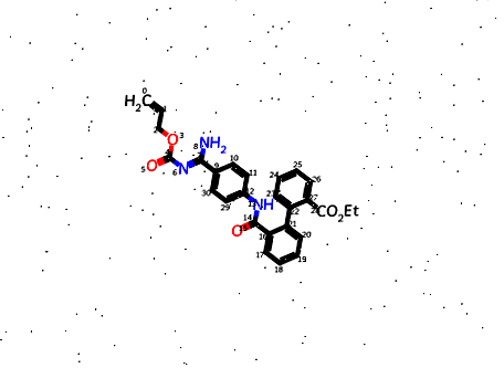 C=CCOC(=O)N=C(N)c1ccc(NC(=O)c2ccccc2-c2ccccc2C(=O)OCC)cc1